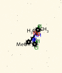 COc1ccc(C2CC(CNS(=O)(=O)c3cc(C)c(Cl)cc3C)=NN2c2ccc(Cl)cc2Cl)cc1